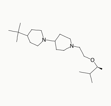 CC(C)[C@H](C)OCCN1CCC(N2CCC(C(C)(C)C)CC2)CC1